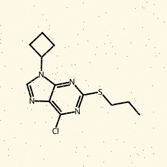 CCCSc1nc(Cl)c2ncn(C3CCC3)c2n1